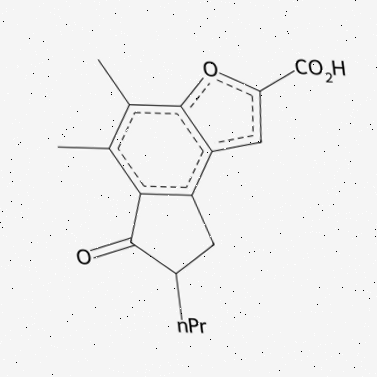 CCCC1Cc2c(c(C)c(C)c3oc(C(=O)O)cc23)C1=O